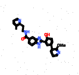 COc1ncccc1-c1ccc(O)c(-c2nc3cc(C(=O)NCCc4ncccc4C)ccc3[nH]2)c1